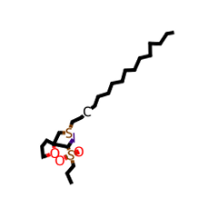 CCCCCCCCCCCCCCCCSCC1(C(I)S(=O)(=O)CCC)CCCO1